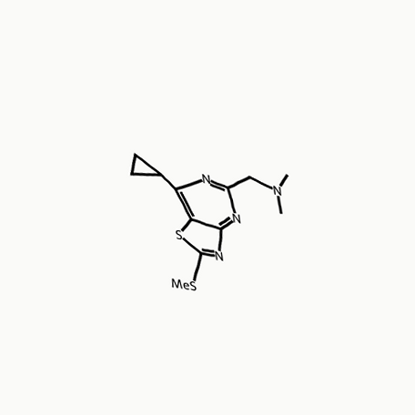 CSc1nc2nc(CN(C)C)nc(C3CC3)c2s1